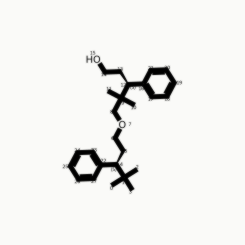 CC(C)(C)[C@H](CCOCC(C)(C)[C@@H](CCO)c1ccccc1)c1ccccc1